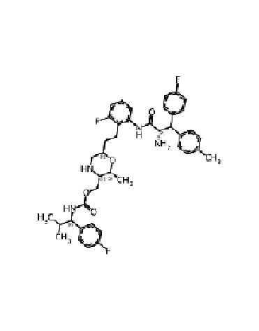 Cc1ccc(C(c2ccc(F)cc2)[C@H](N)C(=O)Nc2cccc(F)c2CC[C@@H]2CN[C@H](COC(=O)N[C@@H](c3ccc(F)cc3)C(C)C)[C@H](C)O2)cc1